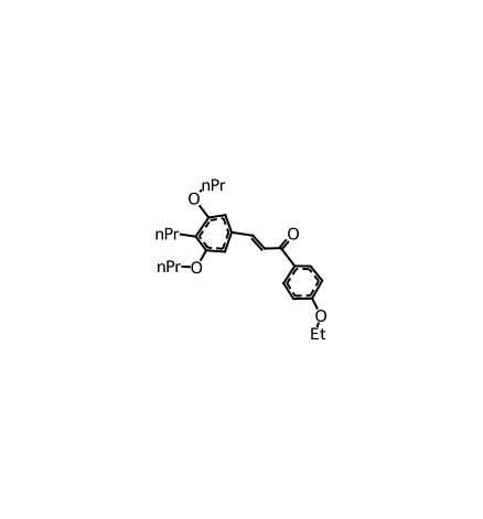 CCCOc1cc(C=CC(=O)c2ccc(OCC)cc2)cc(OCCC)c1CCC